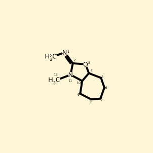 C/N=C1/OC2CCCCCC2N1C